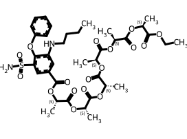 CCCCNc1cc(C(=O)O[C@@H](C)C(=O)O[C@@H](C)C(=O)O[C@@H](C)C(=O)O[C@@H](C)C(=O)O[C@@H](C)C(=O)O[C@@H](C)C(=O)OCC)cc(S(N)(=O)=O)c1Oc1ccccc1